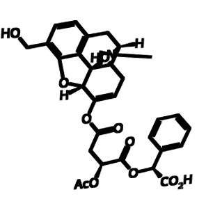 CC(=O)O[C@@H](CC(=O)OC1=CC[C@@]2(O)[C@H]3Cc4ccc(CO)c5c4[C@@]2(CCN3C)[C@H]1O5)C(=O)O[C@H](C(=O)O)c1ccccc1